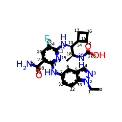 CCn1ncc2cc(Nc3nc(N[C@@H](C4CCC4)[C@H](C)NC(=O)O)c(F)cc3C(N)=O)ccc21